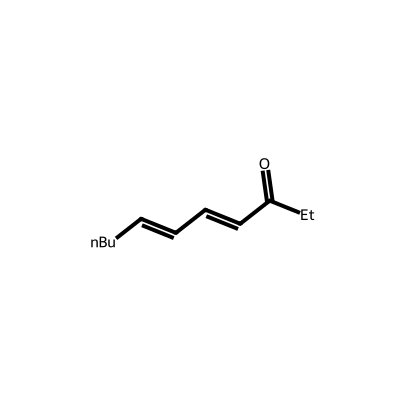 CCCCC=CC=CC(=O)CC